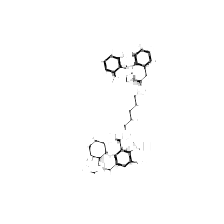 CCN(Cc1cc(Br)c(N)c(C(=O)OCCCCCOC(=O)Cc2ccccc2Nc2c(Cl)cccc2Cl)c1)C1CCCCC1